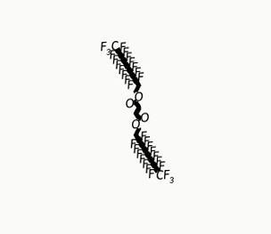 O=C(/C=C/C(=O)OCCC(F)(F)C(F)(F)C(F)(F)C(F)(F)C(F)(F)C(F)(F)C(F)(F)C(F)(F)F)OCCC(F)(F)C(F)(F)C(F)(F)C(F)(F)C(F)(F)C(F)(F)C(F)(F)C(F)(F)F